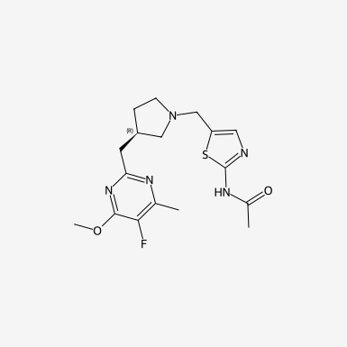 COc1nc(C[C@H]2CCN(Cc3cnc(NC(C)=O)s3)C2)nc(C)c1F